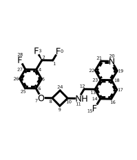 FC[C@H](F)c1cc(OC2CC(NCc3c(F)ccc4cnccc34)C2)ccc1F